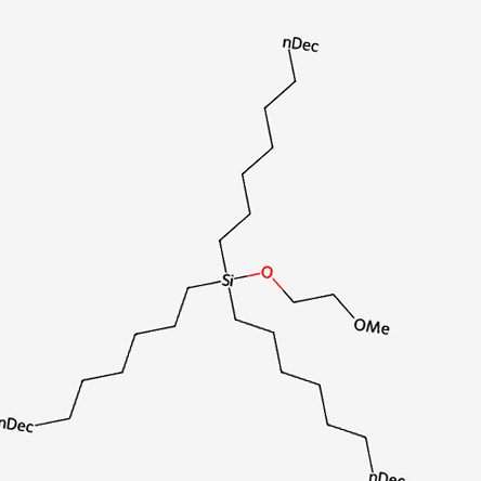 CCCCCCCCCCCCCCCC[Si](CCCCCCCCCCCCCCCC)(CCCCCCCCCCCCCCCC)OCCOC